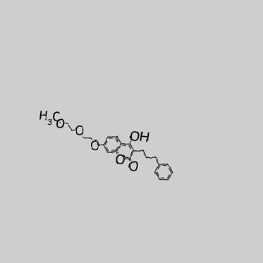 COCCOCCOc1ccc2c(O)c(CCCc3ccccc3)c(=O)oc2c1